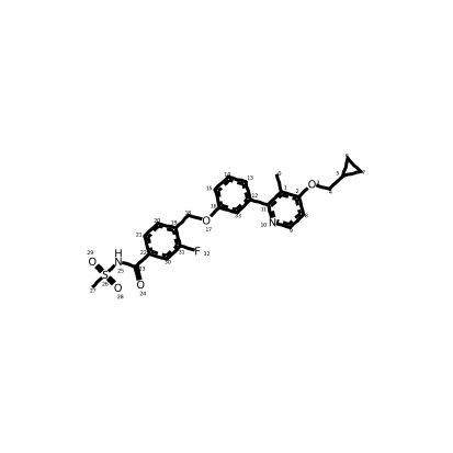 Cc1c(OCC2CC2)ccnc1-c1cccc(OCc2ccc(C(=O)NS(C)(=O)=O)cc2F)c1